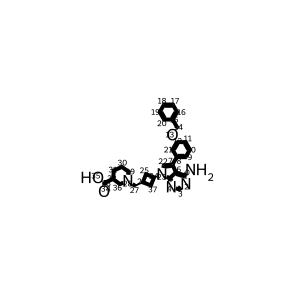 Nc1ncnc2c1c(-c1cccc(OCc3ccccc3)c1)cn2[C@H]1C[C@H](CN2CCCC(C(=O)O)C2)C1